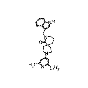 Cc1cc(N2CCC3(CCCN(Cc4c[nH]c5ccccc45)C3=O)CC2)cc(C)n1